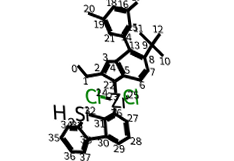 CCC1=Cc2c(ccc(C(C)(C)C)c2-c2cc(C)cc(C)c2)[CH]1[Zr]([Cl])([Cl])[c]1cccc2c1[SiH2]c1ccccc1-2